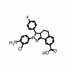 Nc1ccc(N2N=C3c4cc(C(=O)O)ccc4CCC3C2c2ccc(F)cc2)cc1Cl